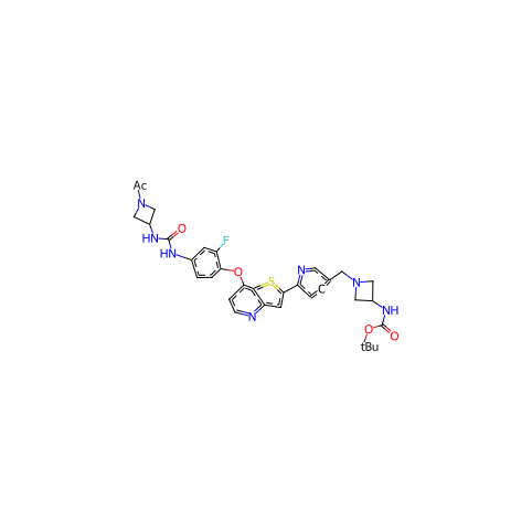 CC(=O)N1CC(NC(=O)Nc2ccc(Oc3ccnc4cc(-c5ccc(CN6CC(NC(=O)OC(C)(C)C)C6)cn5)sc34)c(F)c2)C1